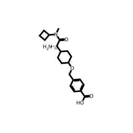 CN(C(=O)[C@@H](N)C1CCC(OCc2ccc(C(=O)O)cc2)CC1)C1CCC1